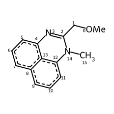 COCC1=Nc2cccc3cccc(c23)N1C